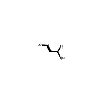 CC(=O)C=CC(O)C(C)(C)C